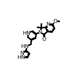 COc1ccc2c(n1)C(C)(C)N(C1=CNCC(CNc3cc[nH]n3)=C1)C2=O